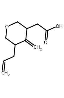 C=CCC1COCC(CC(=O)O)C1=C